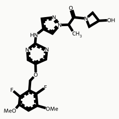 COc1cc(OC)c(F)c(COc2cnc(Nc3cnn(C(C)C(=O)N4CC(O)C4)c3)nc2)c1F